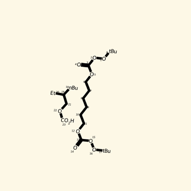 CC(C)(C)OOC(=O)OCCCCCCOC(=O)OOC(C)(C)C.CCCCC(CC)COC(=O)O